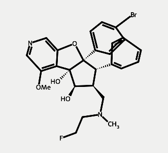 COc1cncc2c1[C@]1(O)[C@H](O)[C@H](CN(C)CCF)[C@@H](c3ccccc3)[C@]1(c1ccc(Br)cc1)O2